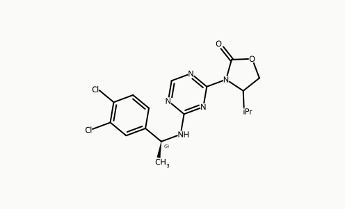 CC(C)C1COC(=O)N1c1ncnc(N[C@@H](C)c2ccc(Cl)c(Cl)c2)n1